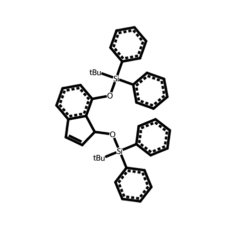 CC(C)(C)[Si](Oc1cccc2c1C(O[Si](c1ccccc1)(c1ccccc1)C(C)(C)C)C=C2)(c1ccccc1)c1ccccc1